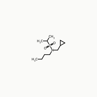 CCCCN(CC1CC1)S(=O)(=O)C(C)C